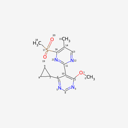 COc1ncnc(C2CC2)c1-c1ncc(C)c(S(C)(=O)=O)n1